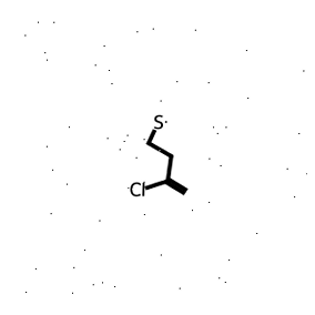 C=C(Cl)CC[S]